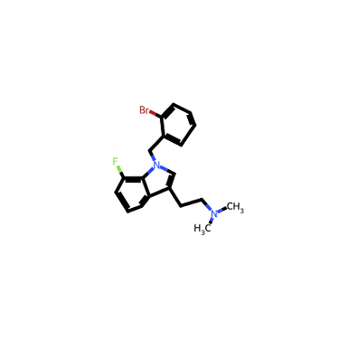 CN(C)CCc1cn(Cc2ccccc2Br)c2c(F)cccc12